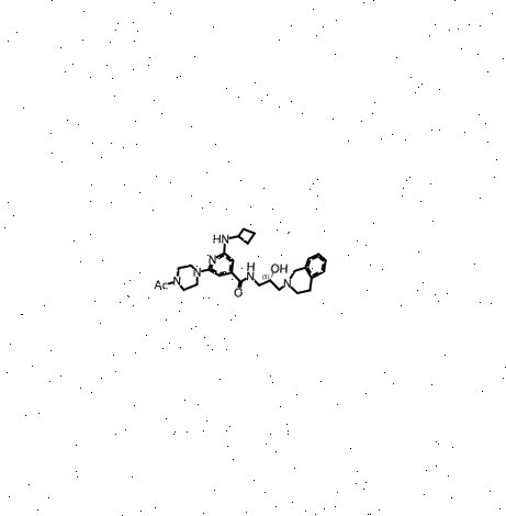 CC(=O)N1CCN(c2cc(C(=O)NC[C@H](O)CN3CCc4ccccc4C3)cc(NC3CCC3)n2)CC1